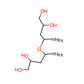 CCCCCCC(CC(O)CO)OC(CCCCCC)CC(O)CO